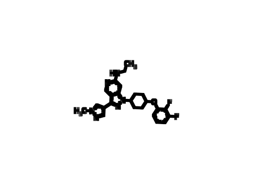 CCNc1cc2c(cn1)c(-c1cnn(C)c1)nn2C1CCC(Oc2cccc(F)c2F)CC1